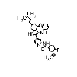 COc1cc(C(=O)Nc2cc(-c3[nH]c4c(c3Nc3ccccc3)C(=O)CC(CSC(C)C)C4)ccn2)ccc1F